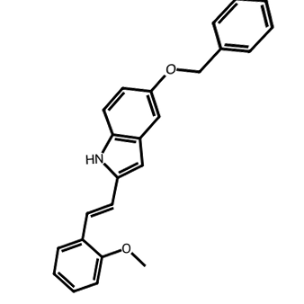 COc1ccccc1/C=C/c1cc2cc(OCc3ccccc3)ccc2[nH]1